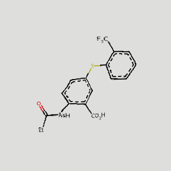 CCC(=O)[AsH]c1ccc(Sc2ccccc2C(F)(F)F)cc1C(=O)O